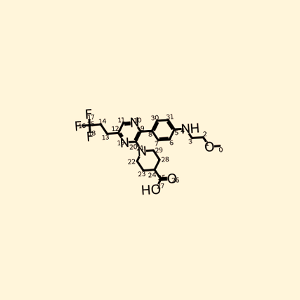 COCCNc1ccc(-c2ncc(CCC(F)(F)F)nc2N2CCC(C(=O)O)CC2)cc1